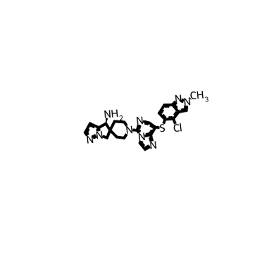 Cn1cc2c(Cl)c(Sc3cnc(N4CCC5(CC4)Cn4nccc4[C@H]5N)n4ccnc34)ccc2n1